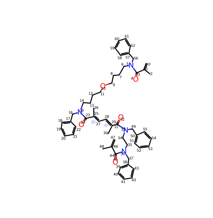 C=C(C)C(=O)N(CCCCOCCCCN(Cc1ccccc1)C(=O)/C(C)=C/C=C(\C)C(=O)N(CCN(Cc1ccccc1)C(=O)C(=C)C)Cc1ccccc1)Cc1ccccc1